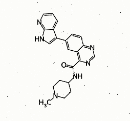 CN1CCC(NC(=O)c2ncnc3ccc(-c4c[nH]c5ncccc45)cc23)CC1